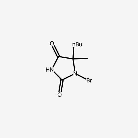 CCCCC1(C)C(=O)NC(=O)N1Br